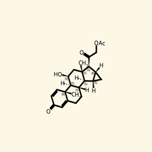 CC(=O)OCC(=O)[C@H]1[C@@H]2C[C@@H]2[C@H]2[C@@H]3CCC4=CC(=O)C=C[C@]4(C)[C@H]3[C@@H](O)C[C@@]21C